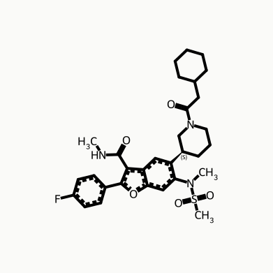 CNC(=O)c1c(-c2ccc(F)cc2)oc2cc(N(C)S(C)(=O)=O)c([C@@H]3CCCN(C(=O)CC4CCCCC4)C3)cc12